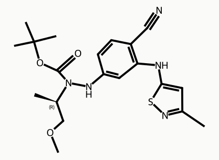 COC[C@@H](C)N(Nc1ccc(C#N)c(Nc2cc(C)ns2)c1)C(=O)OC(C)(C)C